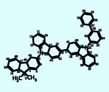 CC1(C)C2=CC=C(N3C4=C(C=CCC4)C4C=C(C5C=c6c(n(-c7cccc(-c8ccccc8)c7)c7ccccc67)=CC5)C=CC43)CC2C2C=CC=CC21